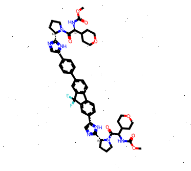 COC(=O)NC(C(=O)N1CCC[C@H]1c1ncc(-c2ccc3c(c2)C(F)(F)c2cc(-c4ccc(-c5cnc([C@@H]6CCCN6C(=O)[C@@H](NC(=O)OC)C6CCOCC6)[nH]5)cc4)ccc2-3)[nH]1)C1CCOCC1